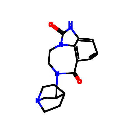 O=C1c2cccc3[nH]c(=O)n(c23)CCN1C1CN2CCC1CC2